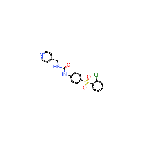 O=C(NCc1ccncc1)Nc1ccc(S(=O)(=O)c2ccccc2Cl)cc1